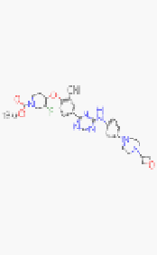 CC(C)(C)OC(=O)N1CCC(Oc2ccc(-c3ncnc(Nc4ccc(N5CCN(C6COC6)CC5)cc4)n3)cc2C#N)C(F)C1